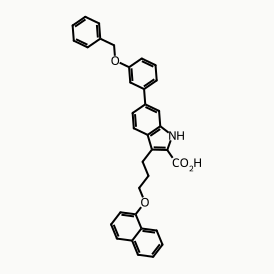 O=C(O)c1[nH]c2cc(-c3cccc(OCc4ccccc4)c3)ccc2c1CCCOc1cccc2ccccc12